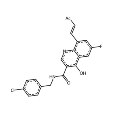 CC(=O)C=Cc1cc(F)cc2c(O)c(C(=O)NCc3ccc(Cl)cc3)cnc12